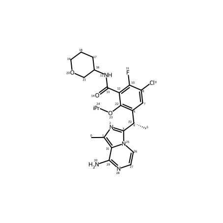 Cc1nc([C@@H](C)c2cc(Cl)c(F)c(C(=O)NC3CCCOC3)c2OC(C)C)n2ccnc(N)c12